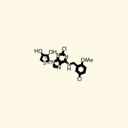 COc1ccc(Cl)cc1CNc1nc(Cl)nc2c1ncn2[C@@H]1SCC(O)[C@@H]1O